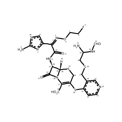 Nc1nc(/C(=N/OCCF)C(=O)N[C@@H]2C(=O)N3C(C(=O)O)=C(Sc4ccncc4CSCC(N)NC=O)CS[C@@H]23)cs1